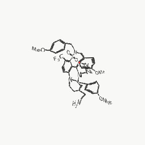 COc1ccc(CN(Cc2ccc(OC)cc2)S(=O)(=O)c2c(C(F)(F)F)ccc(N3CCC(CN)CC3)c2-c2nnnn2Cc2ccc(OC)cc2)cc1